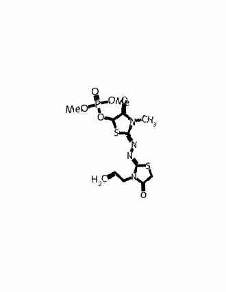 C=CCN1C(=O)CSC1=NN=C1SC(OP(=O)(OC)OC)C(=O)N1C